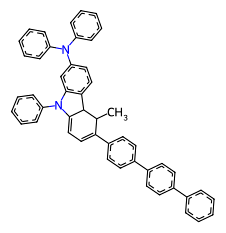 CC1C(c2ccc(-c3ccc(-c4ccccc4)cc3)cc2)=CC=C2C1c1ccc(N(c3ccccc3)c3ccccc3)cc1N2c1ccccc1